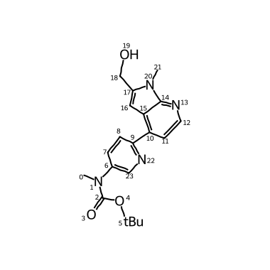 CN(C(=O)OC(C)(C)C)c1ccc(-c2ccnc3c2cc(CO)n3C)nc1